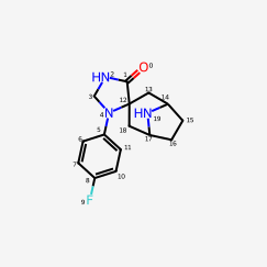 O=C1NCN(c2ccc(F)cc2)C12CC1CCC(C2)N1